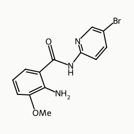 COc1cccc(C(=O)Nc2ccc(Br)cn2)c1N